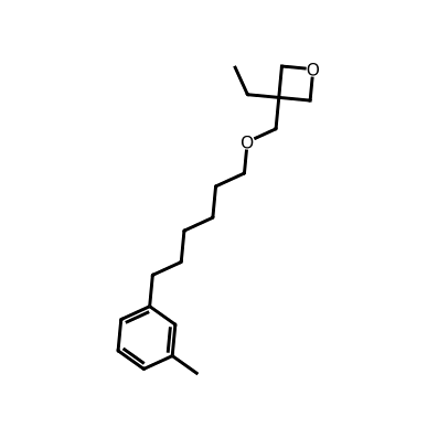 CCC1(COCCCCCCc2cccc(C)c2)COC1